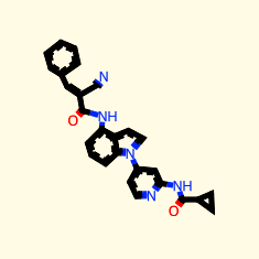 N#C/C(=C\c1ccccc1)C(=O)Nc1cccc2c1ccn2-c1ccnc(NC(=O)C2CC2)c1